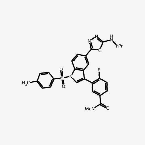 CCCNc1nnc(-c2ccc3c(c2)c(-c2cc(C(=O)NC)ccc2F)cn3S(=O)(=O)c2ccc(C)cc2)o1